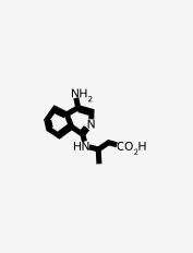 CC(CC(=O)O)Nc1ncc(N)c2ccccc12